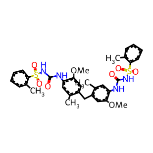 COc1cc(Cc2cc(OC)c(NC(=O)NS(=O)(=O)c3ccccc3C)cc2C)c(C)cc1NC(=O)NS(=O)(=O)c1ccccc1C